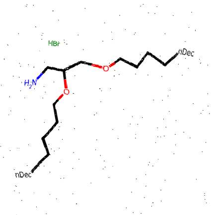 Br.CCCCCCCCCCCCCCOCC(CN)OCCCCCCCCCCCCCC